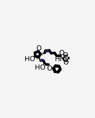 CS(=O)(=O)NC(=O)CCC/C=C\C[C@H]1C(=O)C[C@H](O)[C@@H]1/C=C/C(O)COc1ccccc1